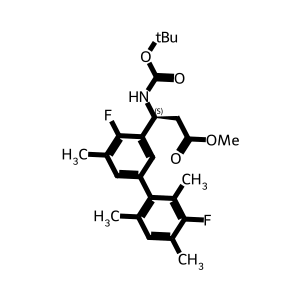 COC(=O)C[C@H](NC(=O)OC(C)(C)C)c1cc(-c2c(C)cc(C)c(F)c2C)cc(C)c1F